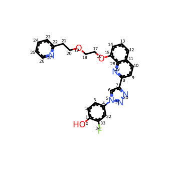 Oc1ccc(-n2cc(-c3ccc4cccc(OCCOCCc5ccccn5)c4n3)nn2)cc1F